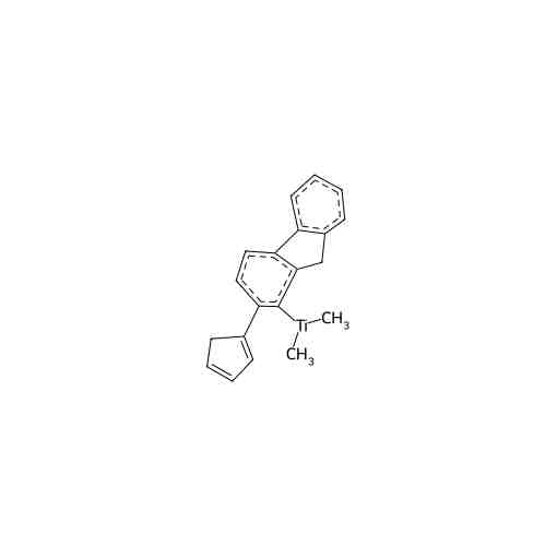 [CH3][Ti]([CH3])[c]1c(C2=CC=CC2)ccc2c1Cc1ccccc1-2